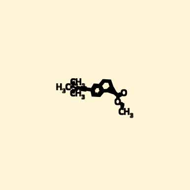 CCOC(=O)C1C2CCc3cc(C#C[Si](C)(C)C)ccc3C21